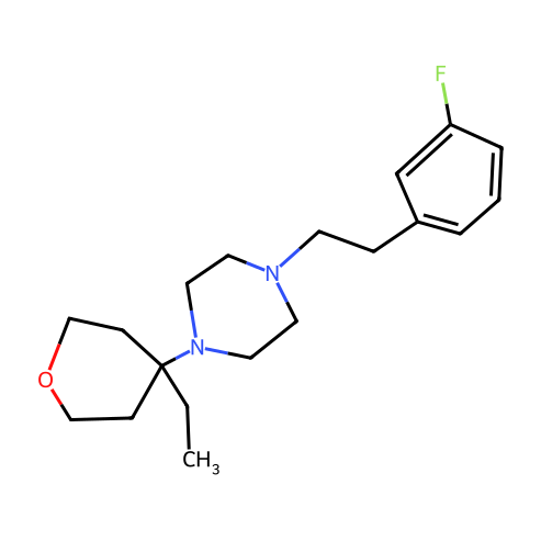 CCC1(N2CCN(CCc3cccc(F)c3)CC2)CCOCC1